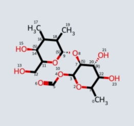 CC1OC(OC=O)[C@@H](O[C@@H]2OC(CO)[C@@H](O)C(C)C2C)[C@H](O)C1O